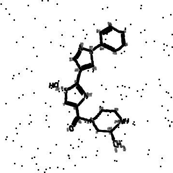 C[C@H]1CN(C(=O)c2csc(-c3cnn(-c4ccccc4)c3)n2)CCN1.Cl